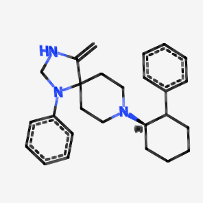 C=C1NCN(c2ccccc2)C12CCN([C@@H]1CCCCC1c1ccccc1)CC2